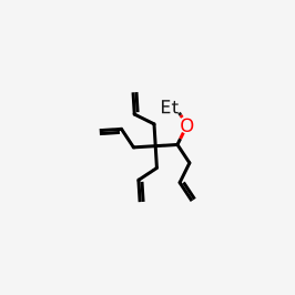 C=CCC(OCC)C(CC=C)(CC=C)CC=C